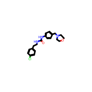 O=C(NCCc1ccc(Cl)cc1)Nc1ccc(CN2CCOCC2)cc1